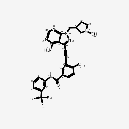 Cc1ccc(C(=O)Nc2cccc(C(F)(F)F)c2)cc1C#Cc1nn(CC2CCN(C)C2)c2ncnc(N)c12